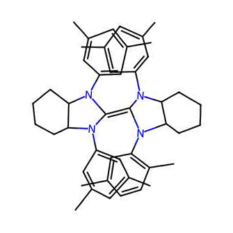 Cc1cc(C)cc(N2C(=C3N(c4cc(C)cc(C)c4)C4CCCCC4N3c3cc(C)ccc3C)N(c3cc(C)cc(C)c3)C3CCCCC32)c1